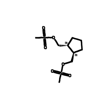 CS(=O)(=O)OC[C@@H]1CCC[C@H]1COS(C)(=O)=O